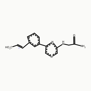 NC(=O)CNc1cncc(-c2cccc(/C=C/C(=O)O)c2)n1